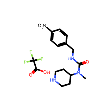 CN(C(=O)NCc1ccc([N+](=O)[O-])cc1)C1CCNCC1.O=C(O)C(F)(F)F